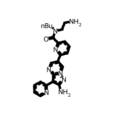 CCCCN(CCN)C(=O)c1cccc(-c2cnc3c(-c4ccccn4)c(N)nn3c2)n1